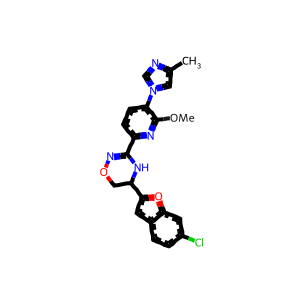 COc1nc(C2=NOCC(c3cc4ccc(Cl)cc4o3)N2)ccc1-n1cnc(C)c1